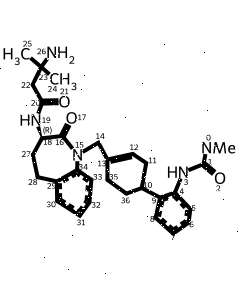 CNC(=O)Nc1ccccc1C1CC=C(CN2C(=O)[C@H](NC(=O)CC(C)(C)N)CCc3ccccc32)CC1